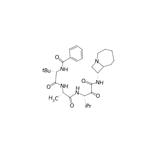 CC(C)[C@H](NC(=O)[C@H](C)NC(=O)[C@@H](NC(=O)c1ccccc1)C(C)(C)C)C(=O)C(=O)N[C@@H]1CN2CCCCCC12